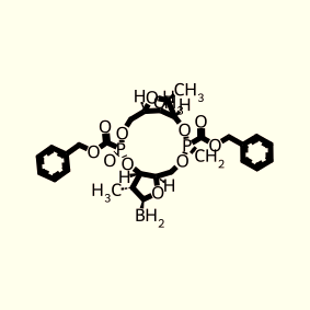 B[C@@H]1O[C@@H]2COP(=C)(C(=O)OCc3ccccc3)O[C@@H]3[C@H](C)[C@@H](COP(=O)(C(=O)OCc4ccccc4)O[C@H]2[C@H]1C)O[C@H]3C